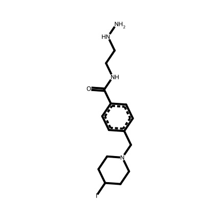 NNCCNC(=O)c1ccc(CN2CCC(I)CC2)cc1